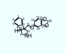 c1ccc2c(c1)[C@H]1CNC[C@@]21COc1ccc2c(c1)OCO2